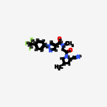 CC1CC(C#N)N(C(=O)CN(C)C(=O)c2cnn(-c3ccc(C(F)(F)F)cc3)c2)C1